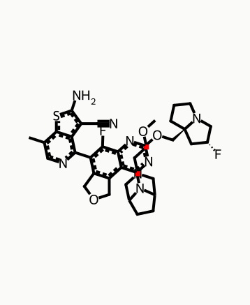 COCCN1CC2CCC(C1)N2c1nc(OC[C@@]23CCCN2C[C@H](F)C3)nc2c(F)c(-c3ncc(C)c4sc(N)c(C#N)c34)c3c(c12)COC3